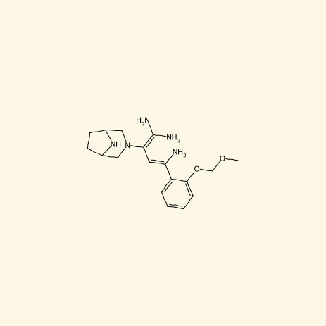 COCOc1ccccc1/C(N)=C/C(=C(N)N)N1CC2CCC(C1)N2